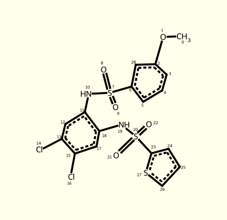 COc1cccc(S(=O)(=O)Nc2cc(Cl)c(Cl)cc2NS(=O)(=O)c2cccs2)c1